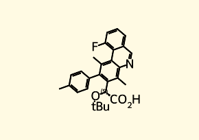 Cc1ccc(-c2c([C@H](OC(C)(C)C)C(=O)O)c(C)c3ncc4cccc(F)c4c3c2C)cc1